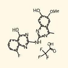 COc1cc2c(C)nc(Nc3nc(O)c4cccc(F)c4n3)nc2cc1O.O=C(O)C(F)(F)F